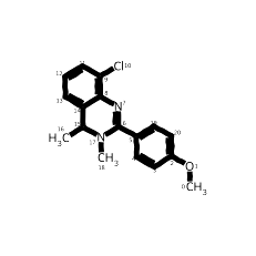 COc1ccc(C2=Nc3c(Cl)cccc3C(C)N2C)cc1